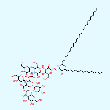 CCCCCCCCCCCCC/C=C/[C@@H](O)[C@H](CO[C@@H]1OC(CO)[C@@H](O[C@@H]2OC(CO)[C@H](O[C@@H]3OC(CO)[C@H](O)[C@H](O[C@@H]4OC(CO)[C@H](O)[C@H](O[C@@H]5OC(CO)[C@@H](O[C@@H]6OC(CO)[C@H](O)[C@H](O)C6O)[C@H](O[C@H]6OC(C)[C@@H](O)C(O)[C@@H]6O)C5NC(C)=O)C4O)C3NC(C)=O)[C@H](O)C2O)[C@H](O)C1O)NC(=O)CCCCCCCCCCCCCCCCCCCCCCCCC